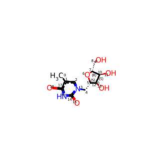 Cc1cn(C[C@@H]2O[C@H](CO)[C@@H](O)[C@H]2O)c(=O)[nH]c1=O